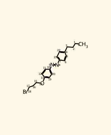 CCCCc1ccc(N=Nc2ccc(OCCCBr)cc2)cc1